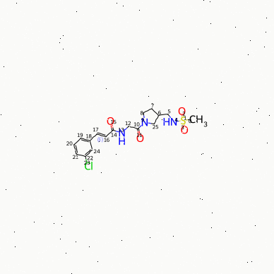 CS(=O)(=O)NCC1CCN(C(=O)CNC(=O)/C=C/c2cccc(Cl)c2)C1